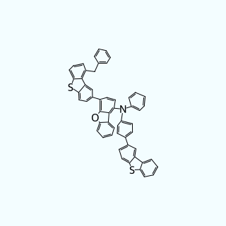 c1ccc(Cc2cccc3sc4ccc(-c5ccc(N(c6ccccc6)c6ccc(-c7ccc8sc9ccccc9c8c7)cc6)c6c5oc5ccccc56)cc4c23)cc1